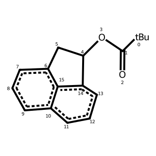 CC(C)(C)C(=O)OC1Cc2cccc3cccc1c23